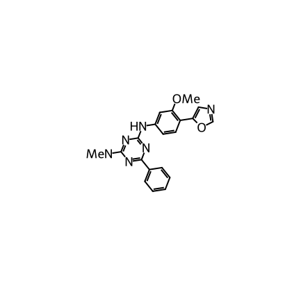 CNc1nc(Nc2ccc(-c3cnco3)c(OC)c2)nc(-c2ccccc2)n1